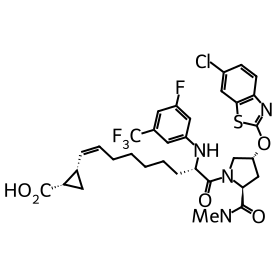 CNC(=O)[C@@H]1C[C@@H](Oc2nc3ccc(Cl)cc3s2)CN1C(=O)[C@H](CCCCC/C=C\[C@@H]1C[C@@H]1C(=O)O)Nc1cc(F)cc(C(F)(F)F)c1